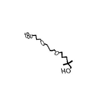 CC(C)(C)CCCOCCCOCCCC(C)(C)CO